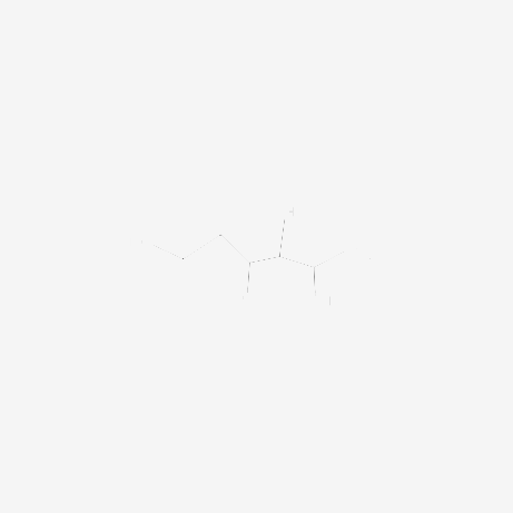 O=C(O)C(O)C(O)C(O)CCO